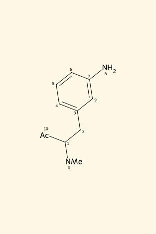 CNC(Cc1cccc(N)c1)C(C)=O